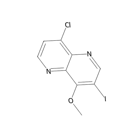 COc1c(I)cnc2c(Cl)ccnc12